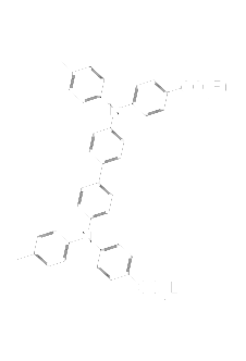 CCOC(=O)c1ccc(N(c2ccc(C)cc2)c2ccc(-c3ccc(N(c4ccc(C)cc4)c4ccc(C(=O)OCC)cc4)cc3)cc2)cc1